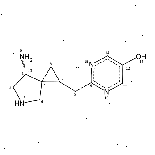 N[C@H]1CNCC12CC2Cc1ncc(O)cn1